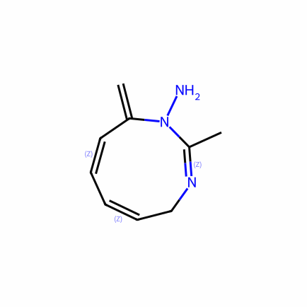 C=C1/C=C\C=C/C/N=C(/C)N1N